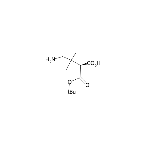 CC(C)(C)OC(=O)[C@H](C(=O)O)C(C)(C)CN